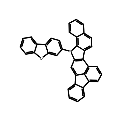 c1ccc2c(c1)-c1cccc3c1c-2cc1c3c2ccc3ccccc3c2n1-c1ccc2c(c1)oc1ccccc12